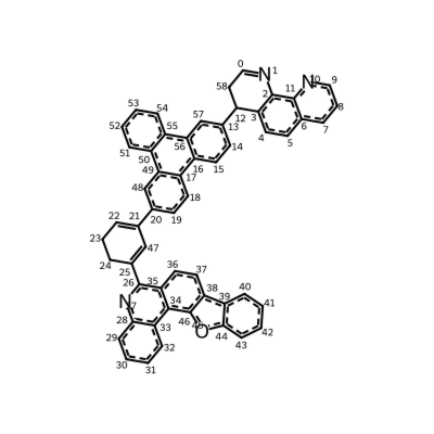 C1=Nc2c(ccc3cccnc23)C(c2ccc3c4ccc(C5=CCCC(c6nc7ccccc7c7c6ccc6c8ccccc8oc67)=C5)cc4c4ccccc4c3c2)C1